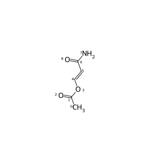 CC(=O)OC=CC(N)=O